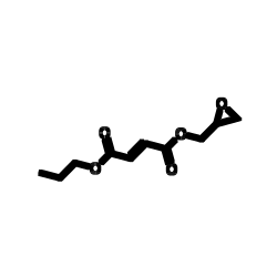 CCCOC(=O)/C=C/C(=O)OCC1CO1